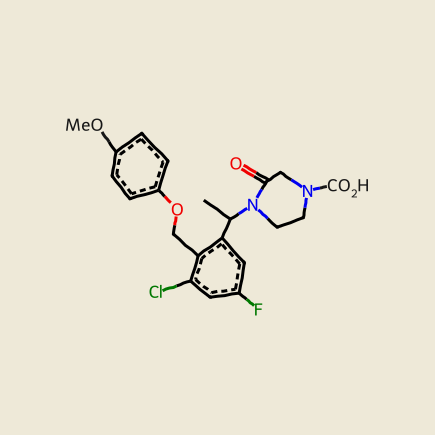 COc1ccc(OCc2c(Cl)cc(F)cc2C(C)N2CCN(C(=O)O)CC2=O)cc1